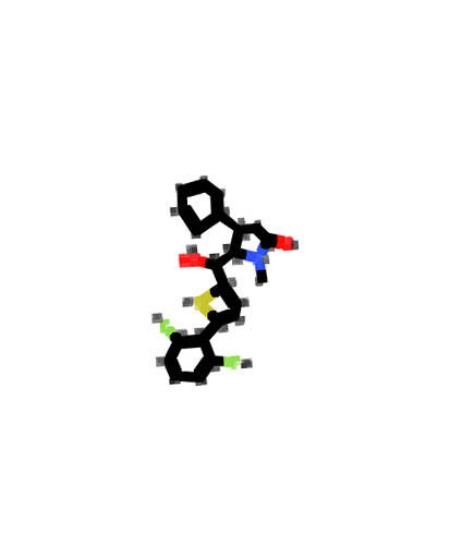 CN1C(=O)C[C@H](c2ccccc2)[C@@H]1C(O)c1ccc(-c2c(F)cccc2F)s1